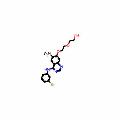 O=[N+]([O-])c1cc2c(Nc3cccc(Br)c3)ncnc2cc1OCCOCCO